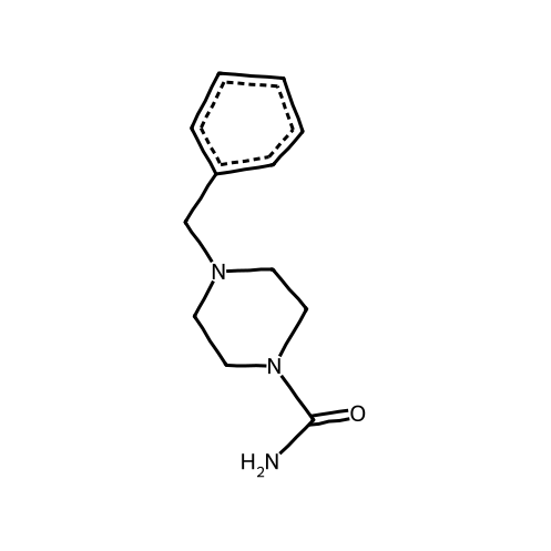 NC(=O)N1CCN(Cc2ccccc2)CC1